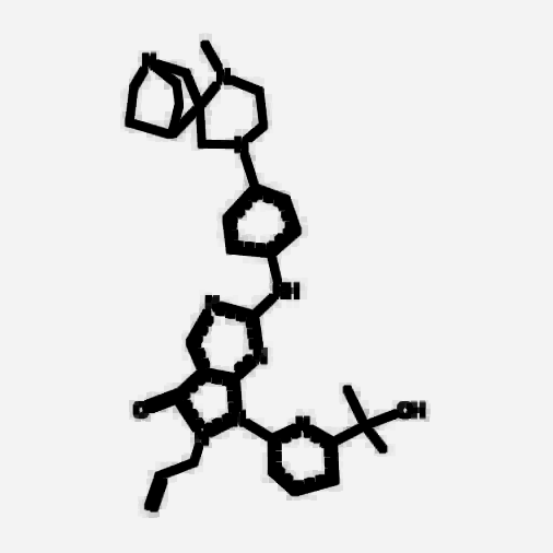 C=CCn1c(=O)c2cnc(Nc3ccc(N4CCN(C)C5(CN6CCC5CC6)C4)cc3)nc2n1-c1cccc(C(C)(C)O)n1